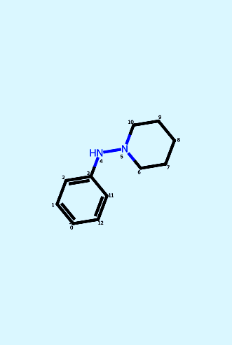 [c]1ccc(NN2CCCCC2)cc1